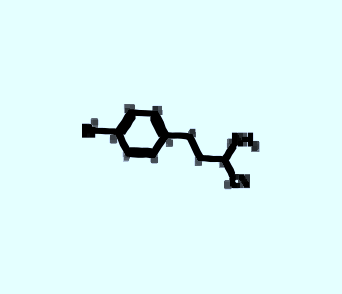 N#CC(N)CCc1ccc(Br)cc1